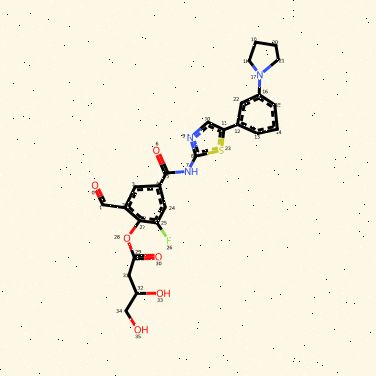 O=Cc1cc(C(=O)Nc2ncc(-c3cccc(N4CCCC4)c3)s2)cc(F)c1OC(=O)CC(O)CO